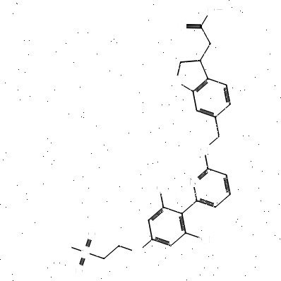 Cc1cc(OCCS(C)(=O)=O)cc(C)c1-c1cccc(OCc2ccc3c(c2)OCC3CC(=O)O)n1